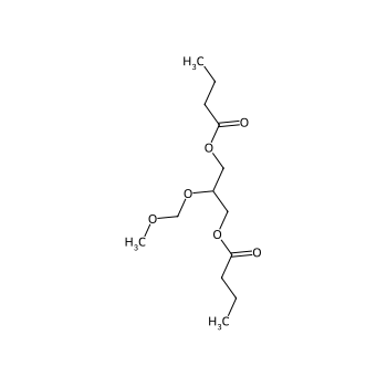 CCCC(=O)OCC(COC(=O)CCC)OCOC